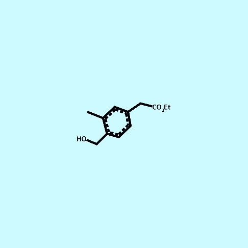 CCOC(=O)Cc1ccc(CO)c(C)c1